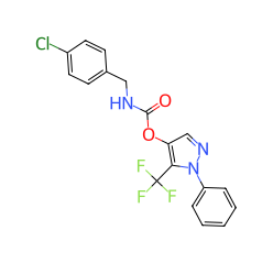 O=C(NCc1ccc(Cl)cc1)Oc1cnn(-c2ccccc2)c1C(F)(F)F